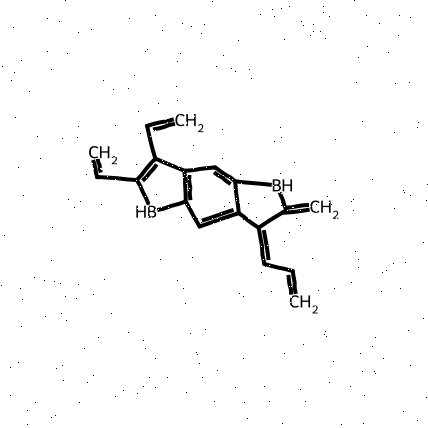 C=C/C=C1\C(=C)Bc2cc3c(cc21)BC(C=C)=C3C=C